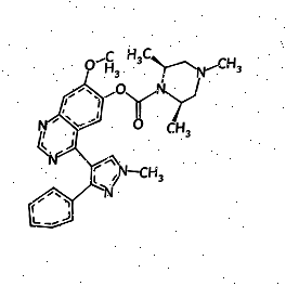 COc1cc2ncnc(-c3cn(C)nc3-c3ccccc3)c2cc1OC(=O)N1[C@H](C)CN(C)C[C@@H]1C